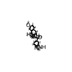 COc1ccc2c(c1)[C@@H]1CCN(C(=O)c3ccc4nc[nH]c4c3)[C@H](C2)[C@H]1C